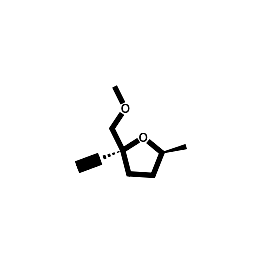 C#C[C@@]1(COC)CC[C@H](C)O1